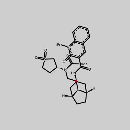 COC(=O)N(CCN1[C@@H]2CC[C@H]1C[C@H](NC(=O)c1cc3ccccc3n(C(C)C)c1=O)C2)[C@@H]1CCS(=O)(=O)C1